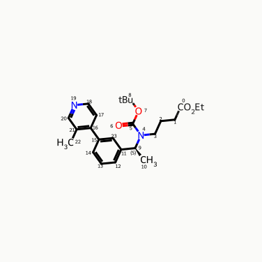 CCOC(=O)CCCN(C(=O)OC(C)(C)C)[C@@H](C)c1cccc(-c2ccncc2C)c1